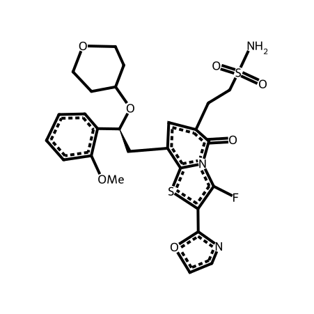 COc1ccccc1[C@H](Cc1cc(CCS(N)(=O)=O)c(=O)n2c(F)c(-c3ncco3)sc12)OC1CCOCC1